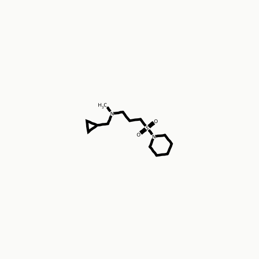 CN(CCCS(=O)(=O)N1CC[CH]CC1)CC1CC1